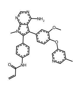 C=CC(=O)Nc1ccc(-c2c(-c3ccc(Oc4cncc(C)c4)c(OC)c3)c3c(N)ncnc3n2C)cc1